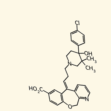 CC1(C)CN(CC/C=C2/c3cc(C(=O)O)ccc3OCc3ncccc32)CCC1(O)c1ccc(Cl)cc1